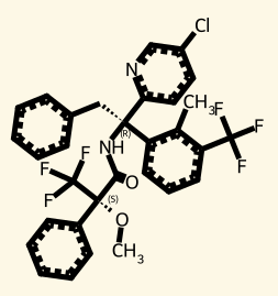 CO[C@](C(=O)N[C@@](Cc1ccccc1)(c1ccc(Cl)cn1)c1cccc(C(F)(F)F)c1C)(c1ccccc1)C(F)(F)F